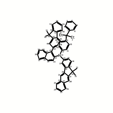 CCC(CC)(c1ccccc1)c1ccc(N(c2ccc3c(c2)-c2cc4ccccc4cc2C3(C)C)c2ccc3ccccc3c2-c2ccc3c(c2)C(C)(C)c2ccccc2-3)cc1